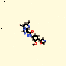 COc1cc(NC(=O)c2ncn3c(C)cc(C)nc23)ccc1-c1cnco1